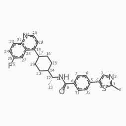 Cc1ncc(-c2ccc(C(=O)N[C@H](C)C3CCC(c4ccnc5ccc(F)cc45)CC3)cc2)s1